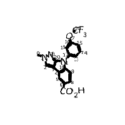 Cn1cc2c3cc(C(=O)O)ccc3n(-c3cccc(OC(F)(F)F)c3)c2n1